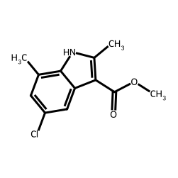 COC(=O)c1c(C)[nH]c2c(C)cc(Cl)cc12